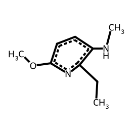 CCc1nc(OC)ccc1NC